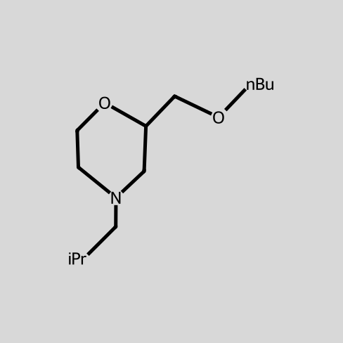 CCCCOCC1CN(CC(C)C)CCO1